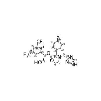 OC[C@H](OC1OCCN(Cc2nc[nH]n2)C1c1ccc(F)cc1)c1cc(C(F)(F)F)cc(C(F)(F)F)c1